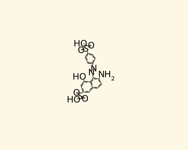 Nc1ccc2cc(S(=O)(=O)O)cc(O)c2c1N=Nc1ccc(S(=O)(=O)O)cc1